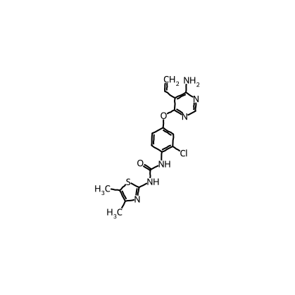 C=Cc1c(N)ncnc1Oc1ccc(NC(=O)Nc2nc(C)c(C)s2)c(Cl)c1